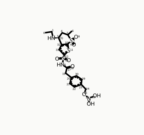 CCN[C@H]1CC(C)S(=O)(=O)c2sc(S(=O)(=O)NC(=O)Cc3ccc(CON(O)O)cc3)cc21